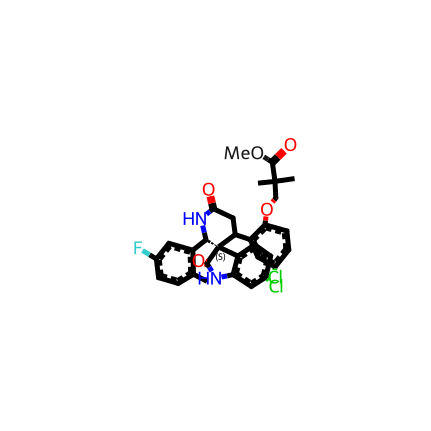 COC(=O)C(C)(C)COc1ccc(Cl)cc1C1CC(=O)NC(c2cc(F)ccc2C)[C@]12C(=O)Nc1cc(Cl)ccc12